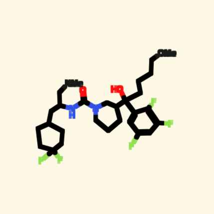 CNCC(CC1CCC(F)(F)CC1)NC(=O)N1CCCC(C(O)(CCCCOC)c2cc(F)cc(F)c2F)C1